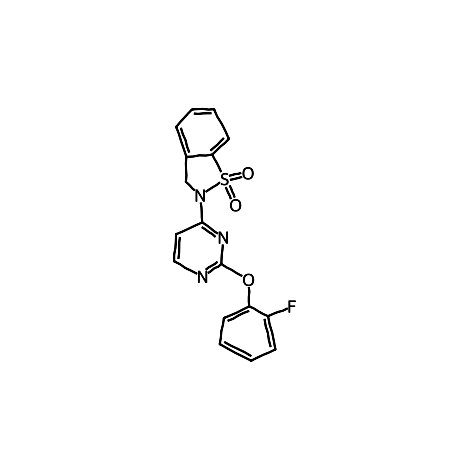 O=S1(=O)c2ccccc2CN1c1ccnc(Oc2ccccc2F)n1